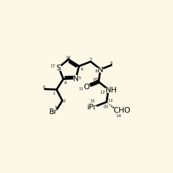 CC(CBr)c1nc(CN(C)C(=O)N[C@H](C=O)C(C)C)cs1